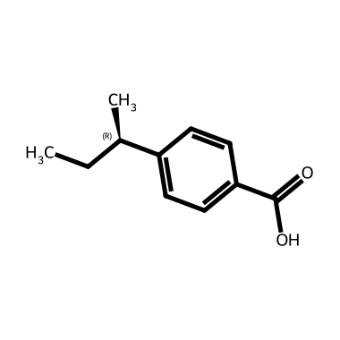 CC[C@@H](C)c1ccc(C(=O)O)cc1